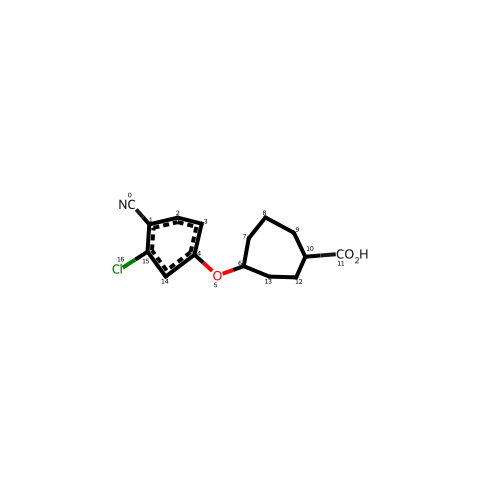 N#Cc1ccc(OC2CCCC(C(=O)O)CC2)cc1Cl